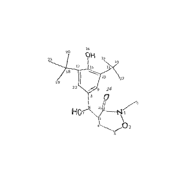 CN1OCCC(C(O)c2cc(C(C)(C)C)c(O)c(C(C)(C)C)c2)C1=O